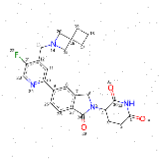 O=C1CCC(N2Cc3cc(-c4cc(CN5CC6(CCC6)C5)c(F)cn4)ccc3C2=O)C(=O)N1